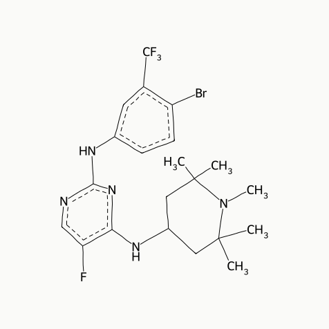 CN1C(C)(C)CC(Nc2nc(Nc3ccc(Br)c(C(F)(F)F)c3)ncc2F)CC1(C)C